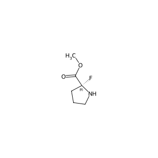 COC(=O)[C@]1(F)CCCN1